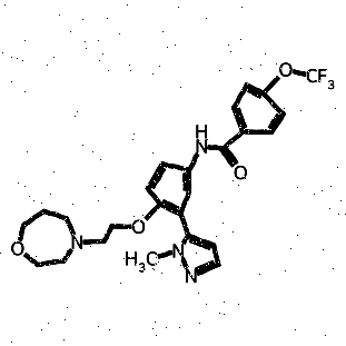 Cn1nccc1-c1cc(NC(=O)c2ccc(OC(F)(F)F)cc2)ccc1OCCN1CCCOCC1